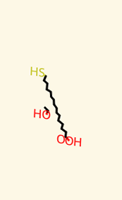 CCO.O=C(O)CCCCCCCCCCCCCCCS